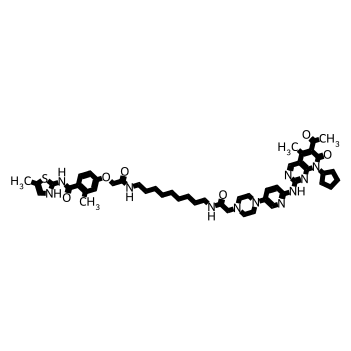 CC(=O)c1c(C)c2cnc(Nc3ccc(N4CCN(CC(=O)NCCCCCCCCCNC(=O)COc5ccc(C(=O)NC6NC=C(C)S6)c(C)c5)CC4)cn3)nc2n(C2CCCC2)c1=O